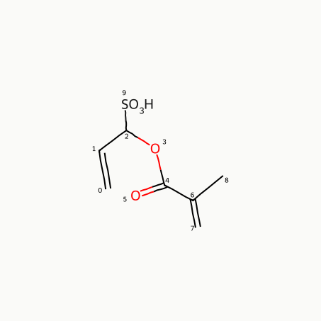 C=CC(OC(=O)C(=C)C)S(=O)(=O)O